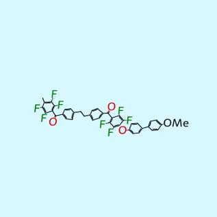 COc1ccc(-c2ccc(Oc3c(F)c(F)c(C(=O)c4ccc(CCc5ccc(C(=O)c6c(F)c(F)c(C)c(F)c6F)cc5)cc4)c(F)c3F)cc2)cc1